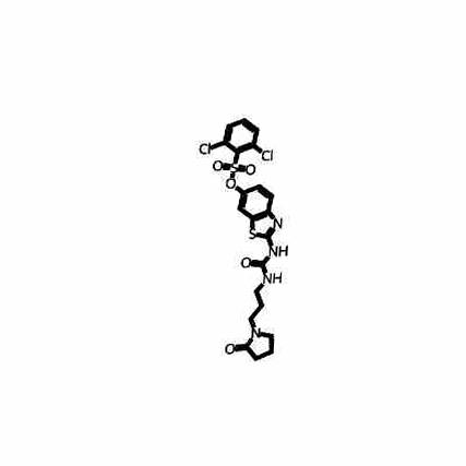 O=C(NCCCN1CCCC1=O)Nc1nc2ccc(OS(=O)(=O)c3c(Cl)cccc3Cl)cc2s1